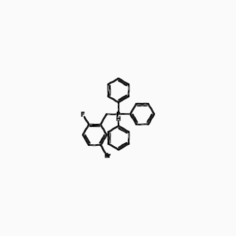 Fc1ccc(Br)cc1C[PH](c1ccccc1)(c1ccccc1)c1ccccc1